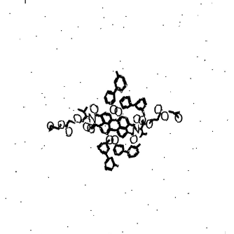 Cc1cccc(-c2cccc(Oc3cc4c5c(cc(Oc6cccc(-c7cccc(C)c7)c6)c6c7c(Oc8cccc(-c9cccc(C)c9)c8)cc8c9c(cc(Oc%10cccc(-c%11cccc(C)c%11)c%10)c(c3c56)c97)C(=O)N(C(C(=O)OCCC(=O)OCC3CO3)C(C)C)C8=O)C(=O)N(C(C(=O)OCCC(=O)OCC3CO3)C(C)C)C4=O)c2)c1